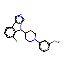 CC(=O)Nc1cccc(N2CCC(C3c4c(F)cccc4-c4cncn43)CC2)c1